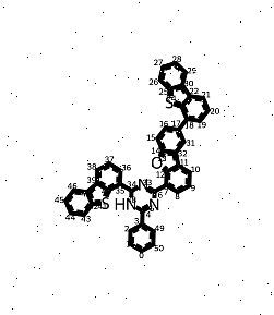 c1ccc(C2=NC(c3cccc4c3oc3ccc(-c5cccc6c5sc5ccccc56)cc34)=NC(c3cccc4c3sc3ccccc34)N2)cc1